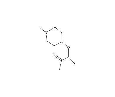 CC(=O)C(C)OC1CCN(C)CC1